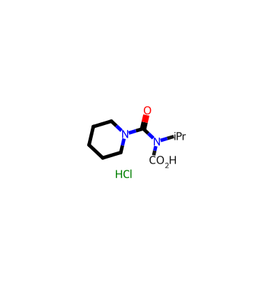 CC(C)N(C(=O)O)C(=O)N1CCCCC1.Cl